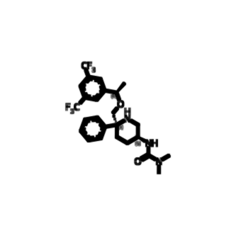 C[C@@H](OC[C@@]1(c2ccccc2)CC[C@H](NC(=O)N(C)C)CN1)c1cc(C(F)(F)F)cc(C(F)(F)F)c1